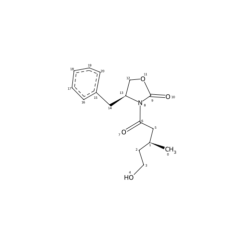 C[C@@H](CCO)CC(=O)N1C(=O)OC[C@@H]1Cc1ccccc1